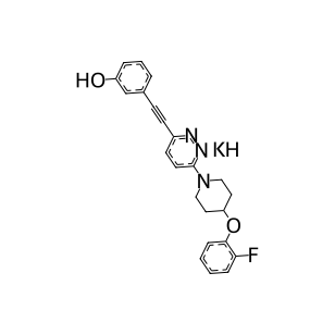 Oc1cccc(C#Cc2ccc(N3CCC(Oc4ccccc4F)CC3)nn2)c1.[KH]